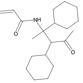 C=CC(=O)NC(C)(C1CCCCC1)C(C(C)=O)C1CCCCC1